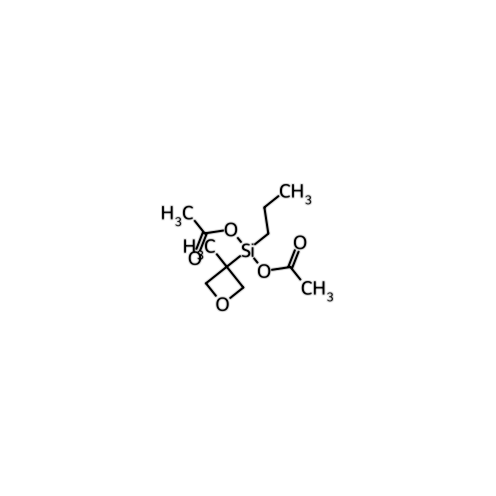 CCC[Si](OC(C)=O)(OC(C)=O)C1(C)COC1